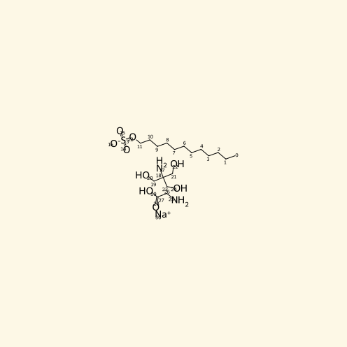 CCCCCCCCCCCCOS(=O)(=O)[O-].NC(CO)(CO)CO.NCC(=O)O.[Na+]